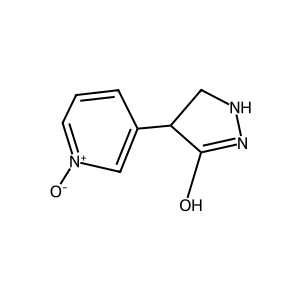 [O-][n+]1cccc(C2CNN=C2O)c1